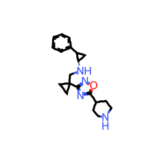 c1ccc(C2C[C@@H]2NCC2(c3noc(C4CCNCC4)n3)CC2)cc1